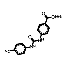 COC(=O)c1ccc(NC(=O)Nc2ccc(C(C)=O)cc2)cc1